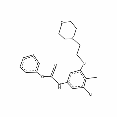 Cc1c(Cl)cc(NC(=O)Oc2ccccc2)cc1OCCN1CCOCC1